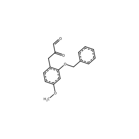 COc1ccc(CC(=O)C=O)c(OCc2ccccc2)c1